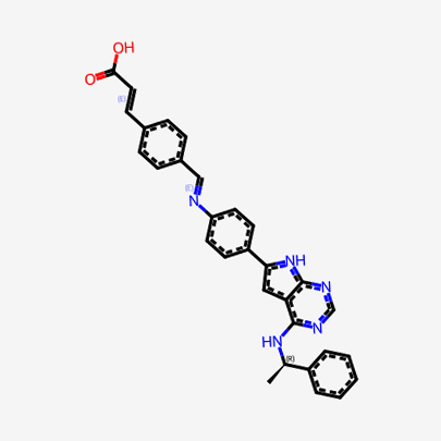 C[C@@H](Nc1ncnc2[nH]c(-c3ccc(/N=C/c4ccc(/C=C/C(=O)O)cc4)cc3)cc12)c1ccccc1